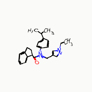 CCn1cc(CN(C(=O)C2CCc3ccccc32)c2ccc(C(C)C)cc2)cn1